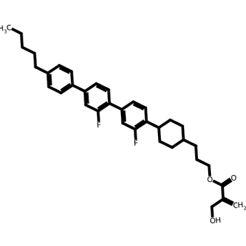 C=C(CO)C(=O)OCCCC1CCC(c2ccc(-c3ccc(-c4ccc(CCCCC)cc4)cc3F)cc2F)CC1